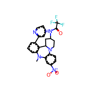 CN1c2cc([N+](=O)[O-])ccc2N2CCC(NC(=O)C(F)(F)F)CC2c2c(-c3ccccn3)cccc21